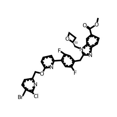 COC(=O)c1ccc2nc(Cc3cc(F)c(-c4cccc(OCc5ccc(Br)c(Cl)n5)n4)cc3F)n(C[C@@H]3CCO3)c2c1